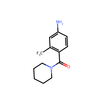 Nc1ccc(C(=O)N2CCCCC2)c(C(F)(F)F)c1